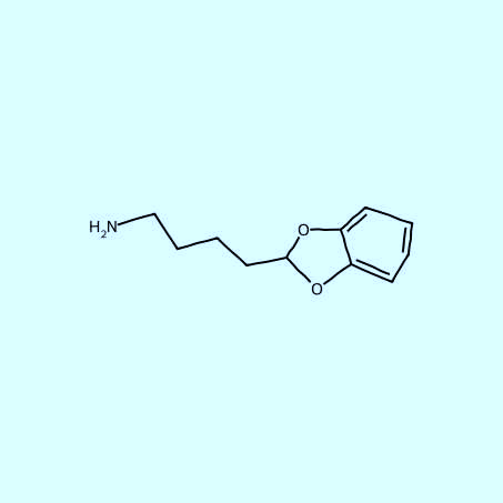 NCCCCC1Oc2ccccc2O1